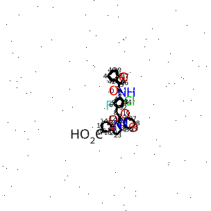 O=C(Nc1cc(F)c(CC(=O)C(O[C@H]2CC[C@H](C(=O)O)CC2)(N2CCCC2)N2CCCOCC2)cc1Cl)c1coc2ccccc12